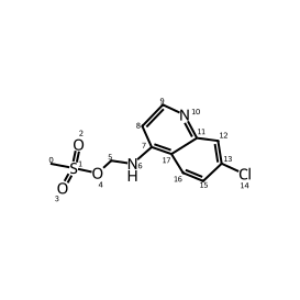 CS(=O)(=O)OCNc1ccnc2cc(Cl)ccc12